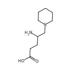 NC(CCC(=O)O)CN1CCCCC1